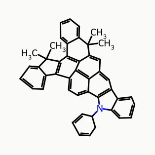 CC1(C)c2ccccc2-c2c1c1c3c(cc4cc5c6ccccc6n(C6C=CC=CC6)c5c5ccc2c3c45)C(C)(C)c2ccccc2-1